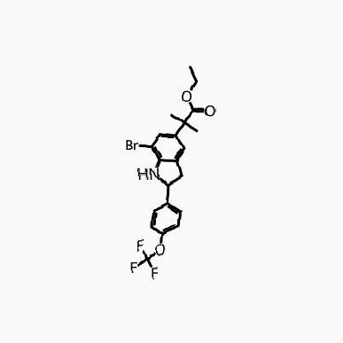 CCOC(=O)C(C)(C)c1cc(Br)c2c(c1)CC(c1ccc(OC(F)(F)F)cc1)N2